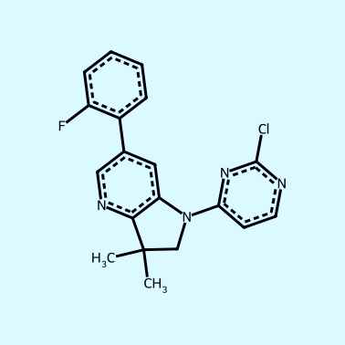 CC1(C)CN(c2ccnc(Cl)n2)c2cc(-c3ccccc3F)cnc21